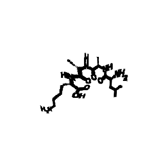 CC(C)C[C@H](N)C(=O)N[C@@H](C)C(=O)N[C@@H](C)C(=O)N[C@@H](CCCCN)C(=O)O